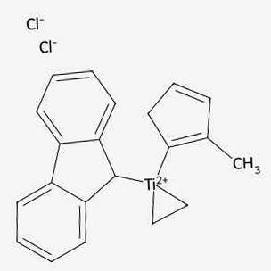 CC1=[C]([Ti+2]2([CH]3c4ccccc4-c4ccccc43)[CH2][CH2]2)CC=C1.[Cl-].[Cl-]